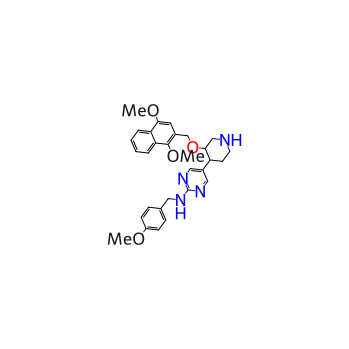 COc1ccc(CNc2ncc(C3CCNCC3OCc3cc(OC)c4ccccc4c3OC)cn2)cc1